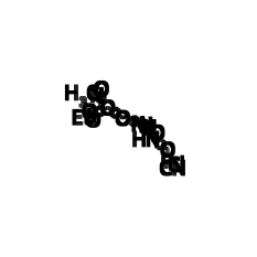 CCS(=O)(=O)c1ccc(Oc2ccc(OCC3CCN(c4ccc(C(=O)NC5CCC(Oc6ccc(C#N)c(Cl)c6)CC5)nn4)CC3)cc2)c(-c2ccc(=O)n(C)c2)c1